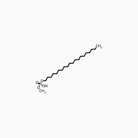 CCCCCCCCCCCCCCCCCCCCOP(=O)(O)OC